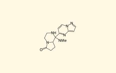 CNC1(c2ccn3nccc3n2)NCCN2C(=O)CCC21